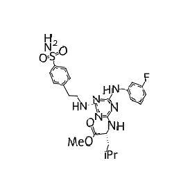 COC(=O)[C@@H](CC(C)C)Nc1nc(NCCc2ccc(S(N)(=O)=O)cc2)nc(Nc2cccc(F)c2)n1